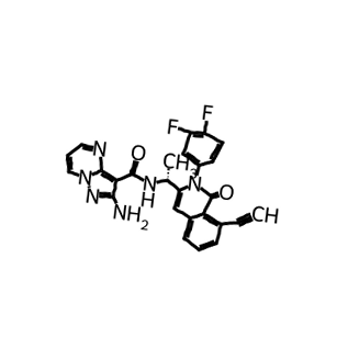 C#Cc1cccc2cc([C@@H](C)NC(=O)c3c(N)nn4cccnc34)n(-c3ccc(F)c(F)c3)c(=O)c12